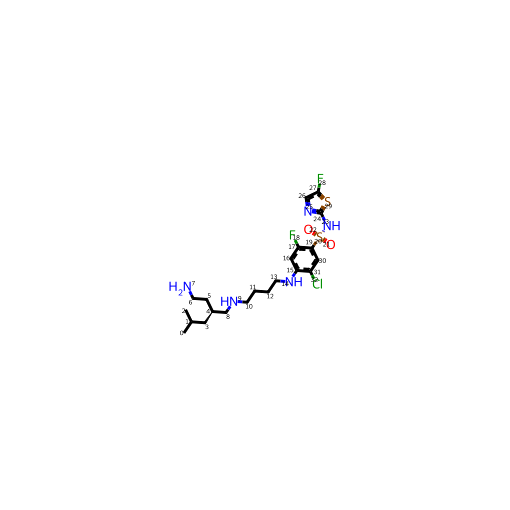 CC(C)C[C@@H](CCN)CNCCCCNc1cc(F)c(S(=O)(=O)Nc2ncc(F)s2)cc1Cl